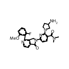 COc1cccc(F)c1-c1nccc2c1CN(c1ccc(C(=O)N(C)C)c(N3CCC(N)C3)n1)C2=O